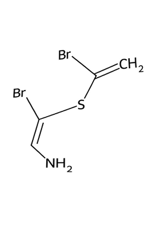 C=C(Br)S/C(Br)=C\N